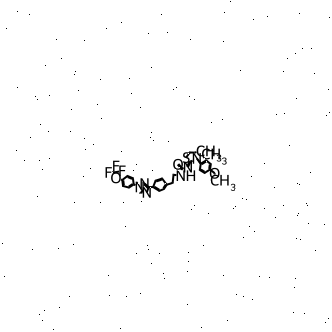 COc1ccc(N2C(=NC(=O)NCCc3ccc(-c4ncn(-c5ccc(OC(F)(F)F)cc5)n4)cc3)SCC2C)c(C)c1